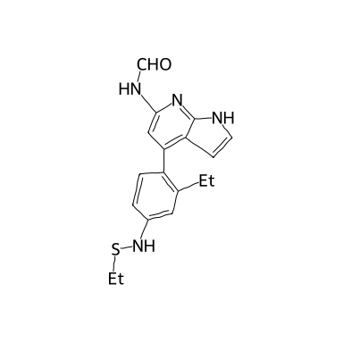 CCSNc1ccc(-c2cc(NC=O)nc3[nH]ccc23)c(CC)c1